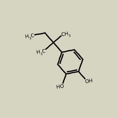 CCC(C)(C)c1ccc(O)c(O)c1